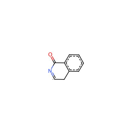 O=C1N=[C]Cc2ccccc21